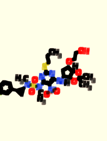 CCCSc1nc(N[C@@H]2C[C@H](OCCO)[C@H]3OC(C)(C)O[C@H]32)c([N+](=O)[O-])c(N(C)S(=O)(=O)N(C)[C@@H]2C[C@H]2c2ccc(F)c(F)c2)n1